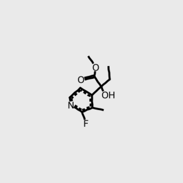 CCC(O)(C(=O)OC)c1ccnc(F)c1C